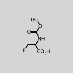 CC(C)(C)OC(=O)NC(CF)C(=O)O